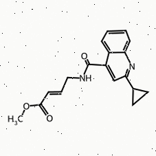 COC(=O)/C=C/CNC(=O)c1cc(C2CC2)nc2ccccc12